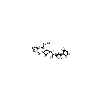 O=C(N[C@H]1C[C@H](Cn2nncc2CO)C1)c1cc(-c2ccccc2)no1